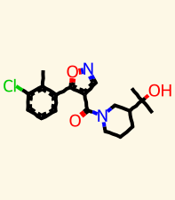 Cc1c(Cl)cccc1-c1oncc1C(=O)N1CCCC(C(C)(C)O)C1